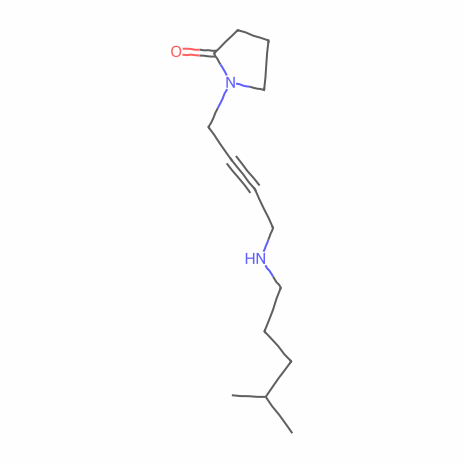 CC(C)CCCNCC#CCN1CCCC1=O